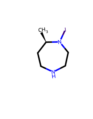 C[C@@H]1CCNCCN1I